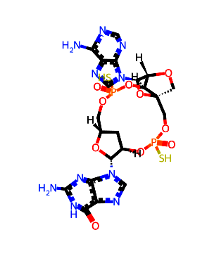 Nc1nc2c(ncn2[C@@H]2O[C@@H]3COP(=O)(S)O[C@H]4[C@H]5OC[C@]4(COP(=O)(S)O[C@@H]2C3)O[C@H]5n2cnc3c(N)ncnc32)c(=O)[nH]1